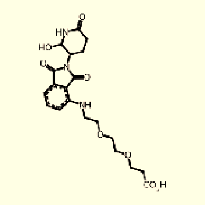 O=C(O)CCOCCOCCNc1cccc2c1C(=O)N(C1CCC(=O)NC1O)C2=O